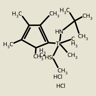 CC1=C(C)C(C)[C]([Ti]([CH3])([CH3])([NH]C(C)(C)C)[SiH](C)C)=C1C.Cl.Cl